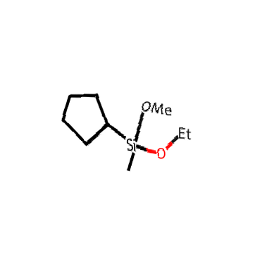 CCO[Si](C)(OC)C1CCCC1